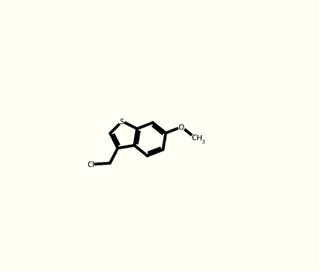 COc1ccc2c(CCl)csc2c1